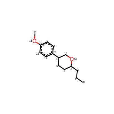 CCCC1CCC(c2ccc(OC)cc2)CO1